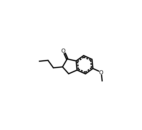 CCCC1Cc2cc(OC)ccc2C1=O